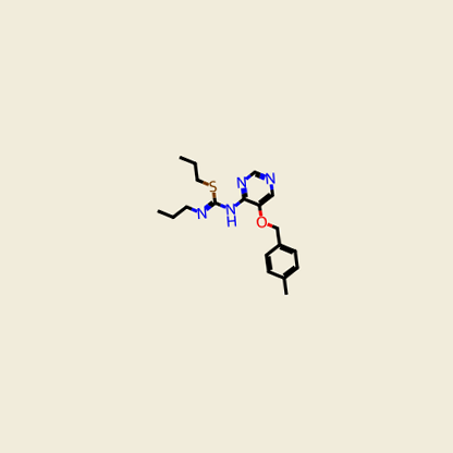 CCCN=C(Nc1ncncc1OCc1ccc(C)cc1)SCCC